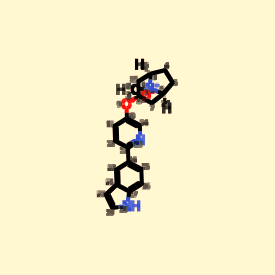 C[N@@+]1([O-])[C@@H]2CC[C@H]1C[C@@H](Oc1ccc(-c3ccc4[nH]ccc4c3)nc1)C2